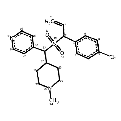 C=CC(c1ccc(Cl)cc1)S(=O)(=O)C(c1ccncc1)C1CCN(C)CC1